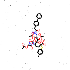 COC(=O)[C@]1(Sc2ccc(C)cc2)CC[C@@H](NC(=O)COC(C)=O)[C@](OC(C)=O)([C@H](OC(C)=O)[C@@H](CNC(=O)Cc2ccc(-c3ccccc3)cc2)OC(C)=O)O1